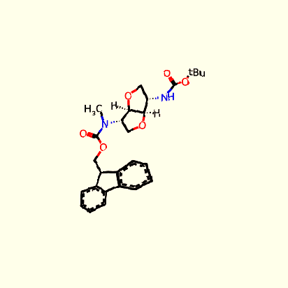 CN(C(=O)OCC1c2ccccc2-c2ccccc21)[C@H]1CO[C@H]2[C@@H]1OC[C@@H]2NC(=O)OC(C)(C)C